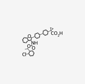 CC(OC(=O)Nc1c(-c2ccc(-c3ccc(C4(C(=O)O)CC4)cc3)cc2)oc2ccccc12)c1ccccc1Cl